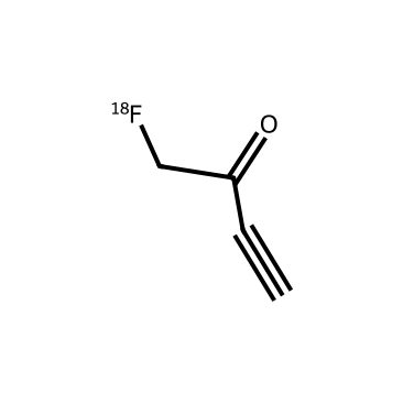 C#CC(=O)C[18F]